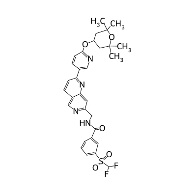 CC1(C)CC(Oc2ccc(-c3ccc4cnc(CNC(=O)c5cccc(S(=O)(=O)C(F)F)c5)cc4n3)cn2)CC(C)(C)O1